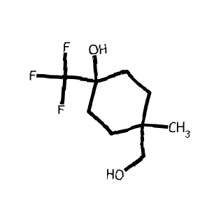 CC1(CO)CCC(O)(C(F)(F)F)CC1